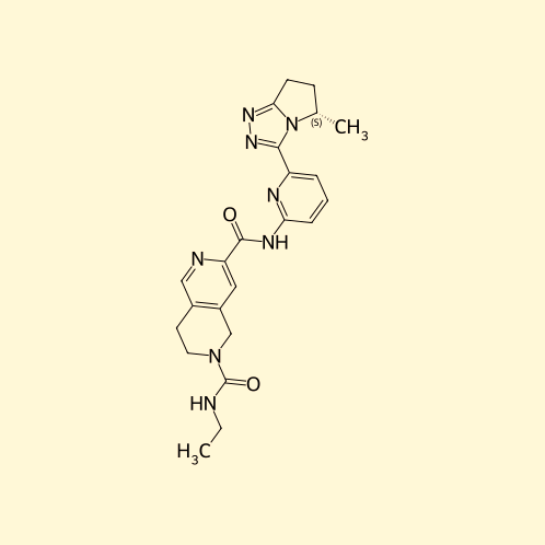 CCNC(=O)N1CCc2cnc(C(=O)Nc3cccc(-c4nnc5n4[C@@H](C)CC5)n3)cc2C1